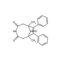 CC12CC(=O)NC(=O)CC(C)(C1=O)C(c1ccccc1)=C2c1ccccc1